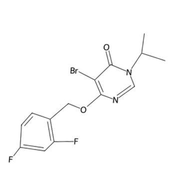 CC(C)n1cnc(OCc2ccc(F)cc2F)c(Br)c1=O